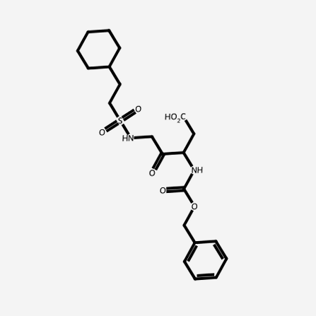 O=C(O)CC(NC(=O)OCc1ccccc1)C(=O)CNS(=O)(=O)CCC1CCCCC1